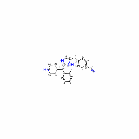 Cc1ccccc1C(c1ncc(Cc2ccc(C#N)cc2)[nH]1)C1CCNCC1